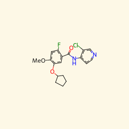 COc1cc(F)c(C(=O)Nc2ccncc2Cl)cc1OC1CCCC1